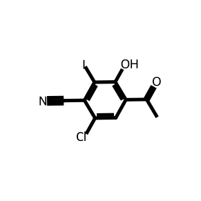 CC(=O)c1cc(Cl)c(C#N)c(I)c1O